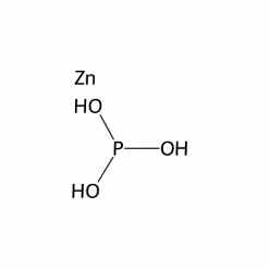 OP(O)O.[Zn]